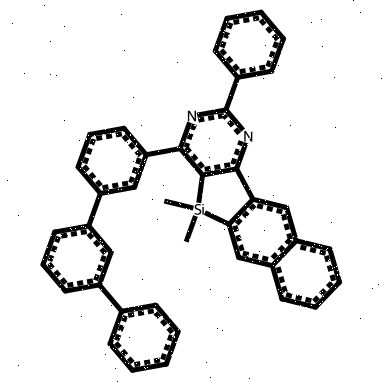 C[Si]1(C)c2cc3ccccc3cc2-c2nc(-c3ccccc3)nc(-c3cccc(-c4cccc(-c5ccccc5)c4)c3)c21